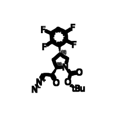 CC(C)(C)OC(=O)N1C[C@@H](c2c(F)c(F)cc(F)c2F)C[C@@H]1C(=O)C=[N+]=[N-]